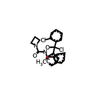 C[C@H](c1ccccc1)N(OC(Cl)(c1ccccc1)c1ccccc1Cl)C(=O)N1CCC1